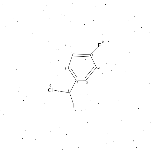 Fc1ccc(C(Cl)I)cc1